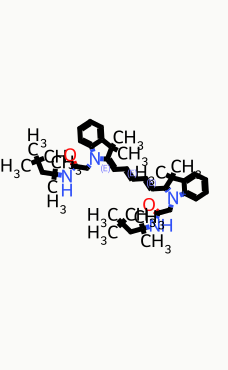 CC(C)(C)CC(C)(C)NC(=O)CN1/C(=C/C=C/C=C/C2=[N+](CC(=O)NC(C)(C)CC(C)(C)C)c3ccccc3C2(C)C)C(C)(C)c2ccccc21